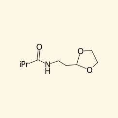 CC(C)C(=O)NCCC1OCCO1